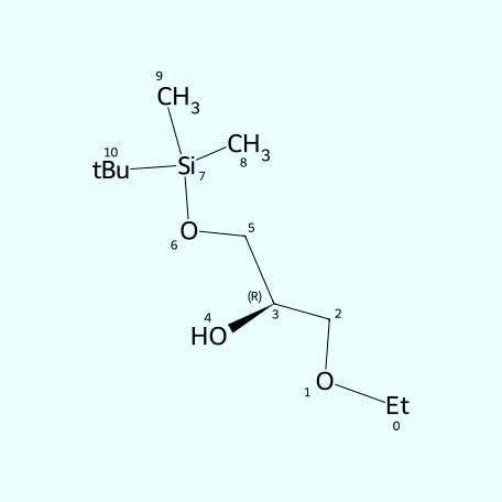 CCOC[C@@H](O)CO[Si](C)(C)C(C)(C)C